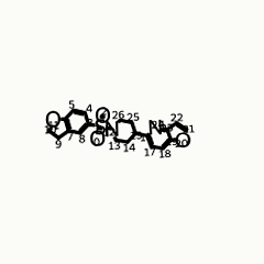 O=S(=O)(c1ccc2c(c1)CCO2)N1CCC(c2ccc3occc3n2)CC1